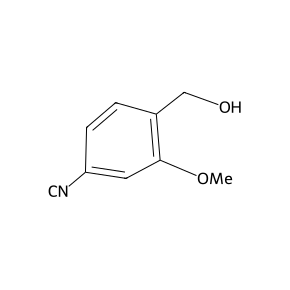 [C-]#[N+]c1ccc(CO)c(OC)c1